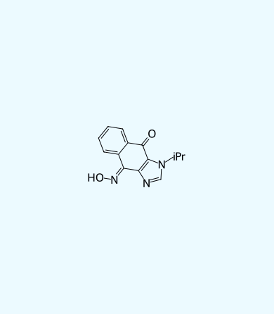 CC(C)n1cnc2c1C(=O)c1ccccc1C2=NO